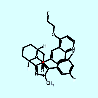 Cn1nc2c(c1-c1cc(F)cc(F)c1)C[C@H]1CCC[C@@H]2N1C(=O)c1ccc2nccc(OCCF)c2c1